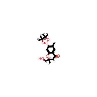 Cc1cc2c(cc1B1OC(C)(C)C(C)(C)O1)OC(C)(CO)CC2=O